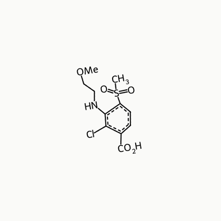 COCCNc1c(S(C)(=O)=O)ccc(C(=O)O)c1Cl